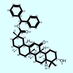 CC1(C)[C@@H](O)CC[C@]2(C)[C@H]3C(=O)C=C4[C@@H]5C[C@@](C)(C(=O)OC(c6ccccc6)c6ccccc6)CC[C@]5(C)CC[C@@]4(C)[C@]3(C)CC[C@@H]12